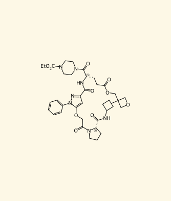 CCOC(=O)N1CCN(C(=O)[C@H](CCC(=O)OCC2(C)COC2)NC(=O)c2cc(OCC(=O)N3CCC[C@H]3C(=O)NC3CCC3)n(-c3ccccc3)n2)CC1